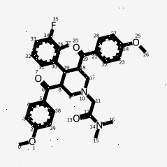 COc1ccc(C(=O)C2CN(CC(=O)N(C)C)CC(C(=O)c3ccc(OC)cc3)C2c2cccc(F)c2C)cc1